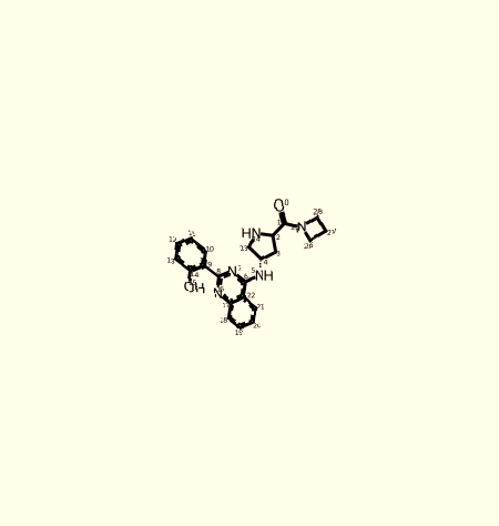 O=C(C1C[C@H](Nc2nc(-c3ccccc3O)nc3ccccc23)CN1)N1CCC1